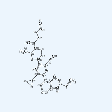 C=Cc1cnc2c(-c3cc(C#N)c(N4CCN(C(=O)CCN=O)C(C)C4)nc3C3CC3)cccc2n1